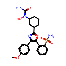 COc1ccc(-c2nc(C3CCCC(N(O)C(N)=O)C3)oc2-c2ccccc2S(N)(=O)=O)cc1